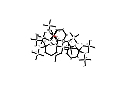 CC[CH][Si]([Si]1(O[Si](C)(C)C)CCCC(O[Si](C)(C)C)(O[Si](C)(C)C)O1)([Si]1(O[Si](C)(C)C)CCCC(O[Si](C)(C)C)(O[Si](C)(C)C)O1)[Si]1(O[Si](C)(C)C)CCCC(O[Si](C)(C)C)(O[Si](C)(C)C)O1